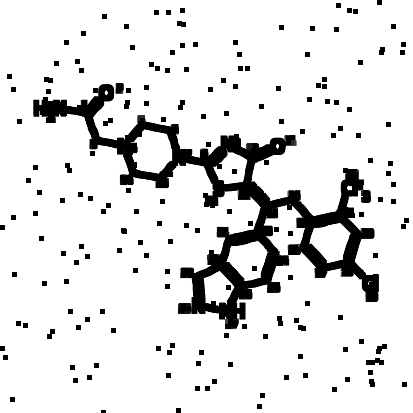 NC(=O)CN1CCN(C2=NC(=O)C(=C(Cc3ccc(Cl)cc3C(F)(F)F)c3ccc4[nH]ncc4c3)S2)CC1